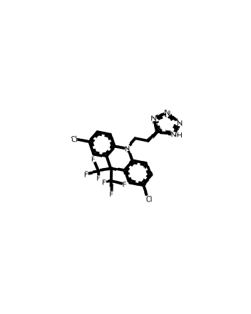 FC(F)(F)C1(C(F)(F)F)c2cc(Cl)ccc2N(CCc2nnn[nH]2)c2ccc(Cl)cc21